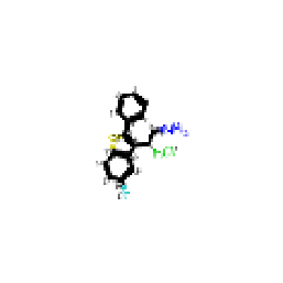 Cl.NCCc1c(-c2ccccc2)sc2ccc(F)cc12